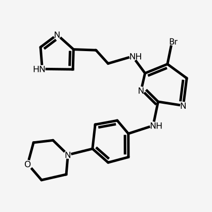 Brc1cnc(Nc2ccc(N3CCOCC3)cc2)nc1NCCc1c[nH]cn1